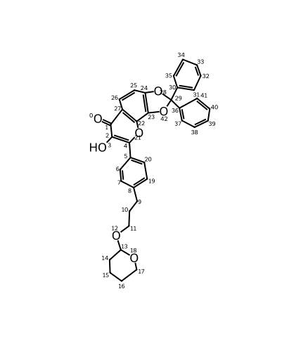 O=c1c(O)c(-c2ccc(CCCOC3CCCCO3)cc2)oc2c3c(ccc12)OC(c1ccccc1)(c1ccccc1)O3